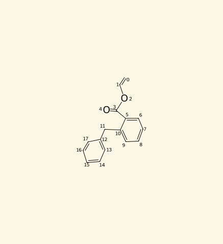 C=COC(=O)c1ccccc1Cc1ccccc1